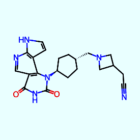 N#CCC1CN(C[C@H]2CC[C@H](n3c(=O)[nH]c(=O)c4cnc5[nH]ccc5c43)CC2)C1